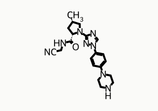 C[C@H]1C[C@@H](C(=O)NCC#N)N(c2ncn(-c3ccc(N4CCNCC4)cc3)n2)C1